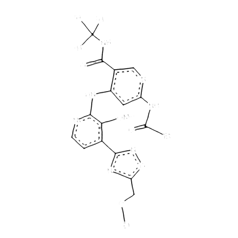 [2H]C([2H])([2H])NC(=O)c1cnc(NC(=O)CC)cc1Nc1nccc(-c2noc(COCC)n2)c1OC